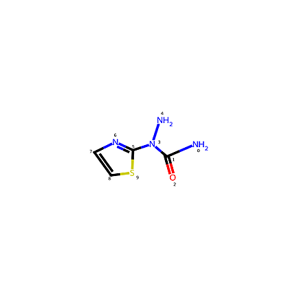 NC(=O)N(N)c1nccs1